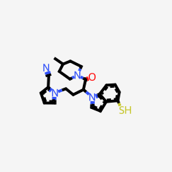 CC1CCN(C(=O)C(CCn2cccc2C#N)n2ccc3c(S)cccc32)CC1